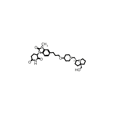 Cn1c(=O)n(C2CCC(=O)NC2=O)c2ccc(CCCOC3CCN(C[C@@H]4CC[C@@]5(CO)CCCN45)CC3)cc21